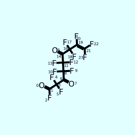 O=C(F)C(F)(F)C(=O)C(F)(F)C(F)(F)C(=O)C(F)(F)C(F)=C(F)F